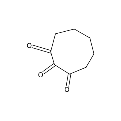 O=C1CCCCCC(=O)C1=O